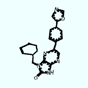 O=c1[nH]c2ncc(-c3ccc(-c4cnco4)cc3)nc2n1CC1CCCCC1